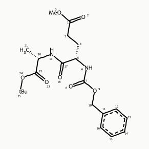 COC(=O)CC[C@H](NC(=O)OCc1ccccc1)C(=O)N[C@@H](C)C(=O)OC(C)(C)C